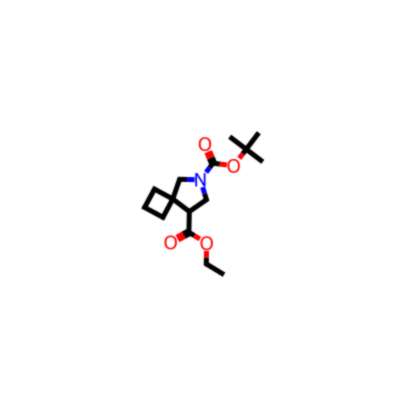 CCOC(=O)C1CN(C(=O)OC(C)(C)C)CC12CCC2